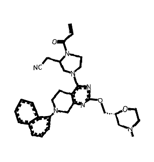 C=CC(=O)N1CCN(c2nc(OC[C@H]3CN(C)CCO3)nc3c2CCN(c2cccc4ccccc24)C3)CC1CC#N